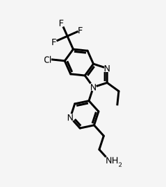 CCc1nc2cc(C(F)(F)F)c(Cl)cc2n1-c1cncc(CCN)c1